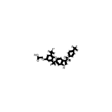 O=C(O)CSc1cc(C(F)(F)F)c(Oc2ccc3[nH]cc(S(=O)(=O)c4ccc(C(F)(F)F)cc4)c3c2)c(C(F)(F)F)c1